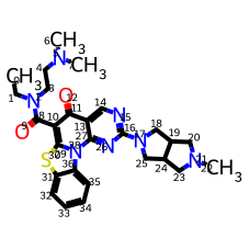 CCN(CCN(C)C)C(=O)c1c(=O)c2cnc(N3CC4CN(C)CC4C3)nc2n2c1sc1ccccc12